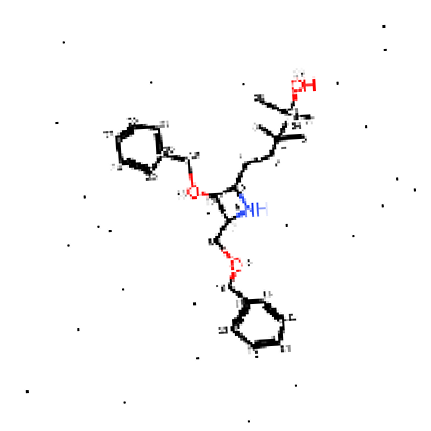 CC(C)(CCC1NC(COCc2ccccc2)C1OCc1ccccc1)[Si](C)(C)O